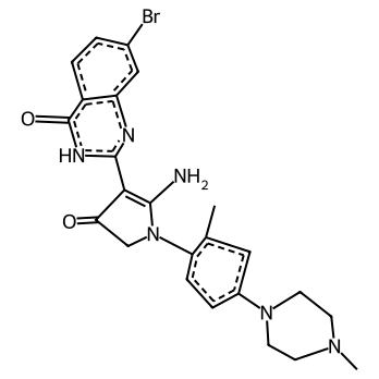 Cc1cc(N2CCN(C)CC2)ccc1N1CC(=O)C(c2nc3cc(Br)ccc3c(=O)[nH]2)=C1N